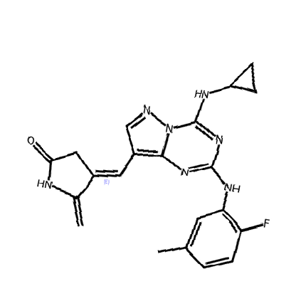 C=C1NC(=O)C/C1=C\c1cnn2c(NC3CC3)nc(Nc3cc(C)ccc3F)nc12